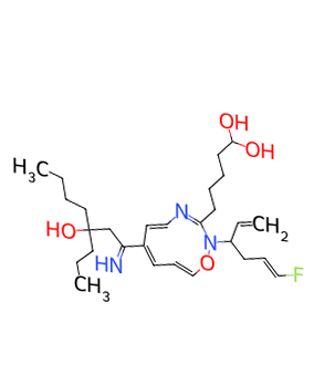 C=CC(C/C=C/F)N1O/C=C/C=C(C(=N)CC(O)(CCC)CCCC)\C=C\N=C/1CCCCC(O)O